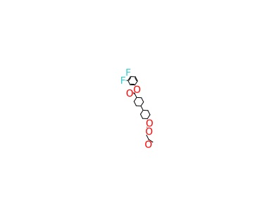 O=C(Oc1ccc(F)c(F)c1)C1CCC(C2CCC(OCOCC3CO3)CC2)CC1